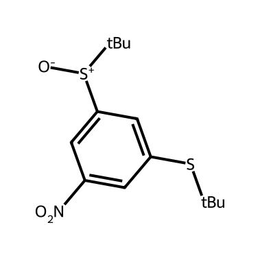 CC(C)(C)Sc1cc([N+](=O)[O-])cc([S+]([O-])C(C)(C)C)c1